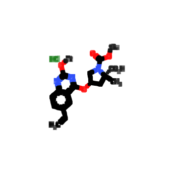 C=Cc1ccc2nc(OCC)nc(O[C@H]3CN(C(=O)OC(C)(C)C)[C@](C)(C(=O)O)C3)c2c1.Cl